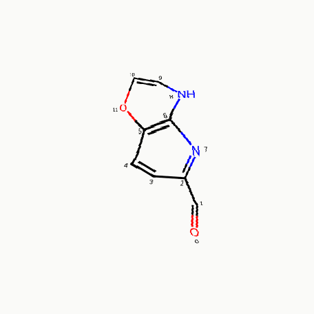 O=Cc1ccc2c(n1)NC=CO2